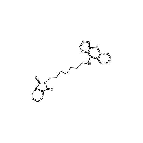 O=C1c2ccccc2C(=O)N1CCCCCCCNc1c2ccccc2nc2ccccc12